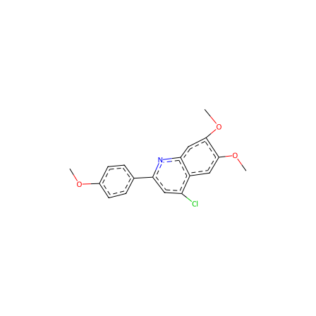 COc1ccc(-c2cc(Cl)c3cc(OC)c(OC)cc3n2)cc1